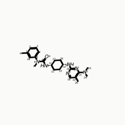 Cc1cccc(N(C)C(=O)N[C@H]2CC[C@@H](Nc3ncc(C)c(N(C)C)n3)CC2)c1